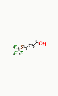 OC/C=C/CSC(F)(F)F